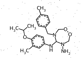 Cc1ccc(CN2COOCN(N)C2Nc2ccc(OC(C)C)c(C)c2)cc1